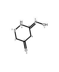 O=C1CSNC(=NO)C1